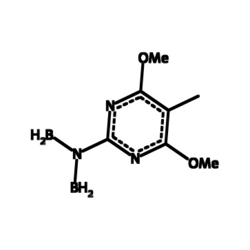 BN(B)c1nc(OC)c(C)c(OC)n1